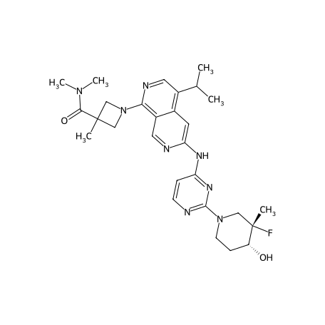 CC(C)c1cnc(N2CC(C)(C(=O)N(C)C)C2)c2cnc(Nc3ccnc(N4CC[C@@H](O)[C@@](C)(F)C4)n3)cc12